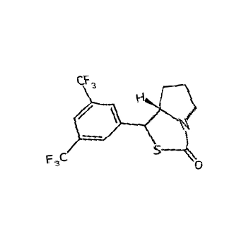 O=C1SC(c2cc(C(F)(F)F)cc(C(F)(F)F)c2)[C@@H]2CCCN12